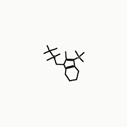 CC1=[C]([Ti]([CH3])([CH3])[CH3])C2=C(CCCC2)C1C[Si](C)(C)C(C)(C)C